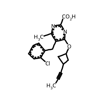 CC#CC1CC(Oc2nc(C(=O)O)nc(C)c2Cc2ccccc2Cl)C1